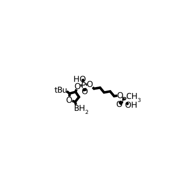 BC1CC(OP(=O)(O)OCCCCCOP(C)(=O)O)C(C(C)(C)C)O1